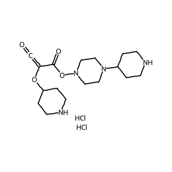 Cl.Cl.O=C=C(OC1CCNCC1)C(=O)ON1CCN(C2CCNCC2)CC1